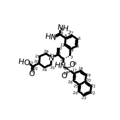 C=C([C@H](Cc1cccc(C(=N)N)c1)NS(=O)(=O)c1ccc2ccccc2c1)N1CCC(C(=O)O)CC1